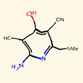 CSc1nc(N)c(C#N)c(O)c1C#N